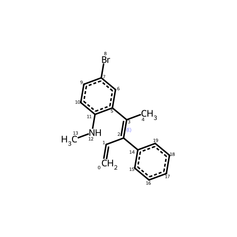 C=C/C(=C(/C)c1cc(Br)ccc1NC)c1ccccc1